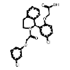 O=C(O)COc1ccc(Cl)cc1C1c2ccccc2CCN1C(=O)COc1cccc(Cl)c1